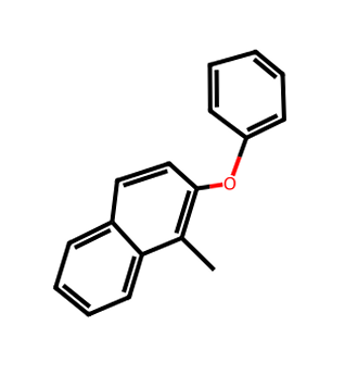 Cc1c(Oc2ccccc2)ccc2ccccc12